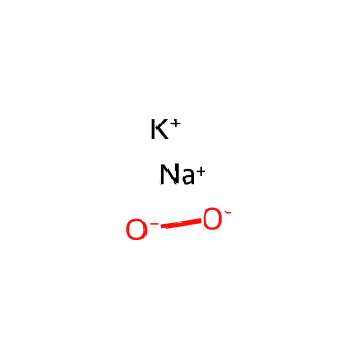 [K+].[Na+].[O-][O-]